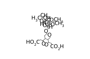 CC1(C)O[C@H]2[C@@H](O1)[C@@H](COC1CC(C(=O)CC(=O)O)C(C(=O)CC(=O)O)CO1)O[C@@H]1OC(C)(C)O[C@@H]12